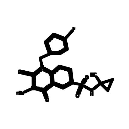 CCCCn1c(=O)c2cc(S(=O)(=O)NC3(C#N)CC3)ccc2n(Cc2ccc(F)cc2)c1=O